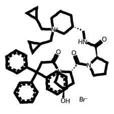 O=C(NC[C@H]1CCC[N+](CC2CC2)(CC2CC2)C1)[C@H]1CCCN1C(=O)[C@@H]1C[C@@H](O)CN1C(=O)CC(c1ccccc1)(c1ccccc1)c1ccccc1.[Br-]